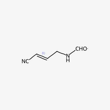 N#C/C=C/CN[C]=O